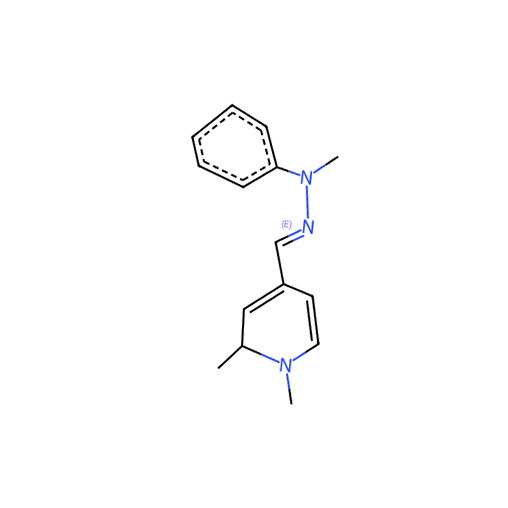 CC1C=C(/C=N/N(C)c2ccccc2)C=CN1C